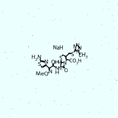 CON=C(C(=O)N[C@@H]1C(=O)N2C(C(=O)O)=C(CSc3nnnn3C)CS[C@H]12)c1csc(N)n1.[NaH]